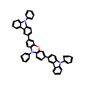 c1ccc(N2c3ccc(-c4ccc5c(c4)c4ccccc4n5-c4ccccc4)cc3Oc3cc(-c4ccc5c(c4)c4ccccc4n5-c4ccccc4)ccc32)cc1